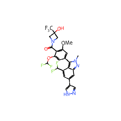 COc1cc(-c2c3c(C(F)F)cc(-c4cn[nH]c4)cc3nn2C)cc(OC(F)F)c1C(=O)N1CC(O)(C(F)(F)F)C1